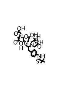 CC(C)(C)C(=S)Nc1ccc(CC(CN(CCN(CC(=O)O)CC(=O)O)CC(=O)O)N(CC(=O)O)CC(=O)O)cc1